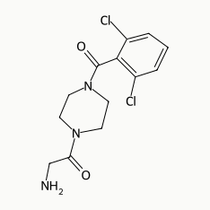 NCC(=O)N1CCN(C(=O)c2c(Cl)cccc2Cl)CC1